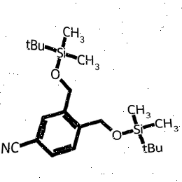 CC(C)(C)[Si](C)(C)OCc1ccc(C#N)cc1CO[Si](C)(C)C(C)(C)C